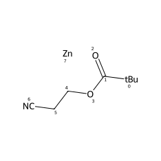 CC(C)(C)C(=O)OCCC#N.[Zn]